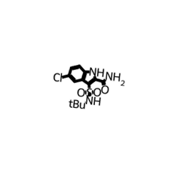 CC(C)(C)NS(=O)(=O)c1c(C(N)=O)[nH]c2ccc(Cl)cc12